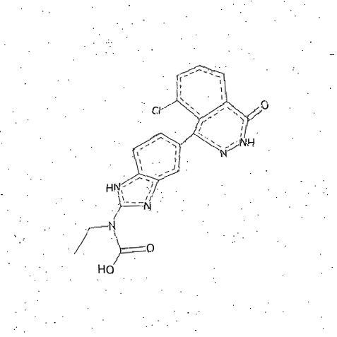 CCN(C(=O)O)c1nc2cc(-c3n[nH]c(=O)c4cccc(Cl)c34)ccc2[nH]1